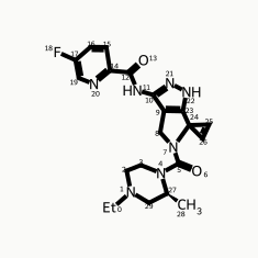 CCN1CCN(C(=O)N2Cc3c(NC(=O)c4ccc(F)cn4)n[nH]c3C23C=C3)[C@@H](C)C1